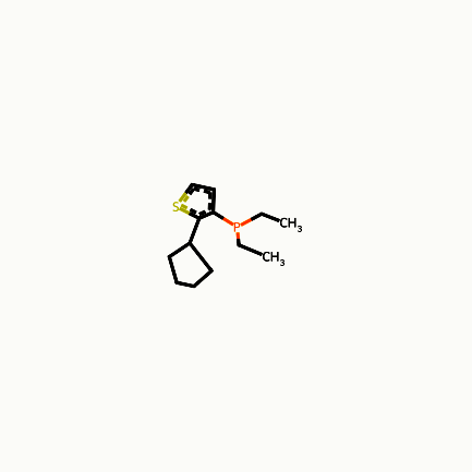 CCP(CC)c1ccsc1C1CCCC1